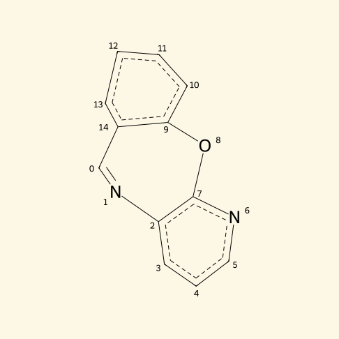 C1=Nc2cccnc2Oc2ccccc21